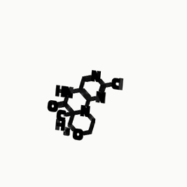 CC12COCCN1c1nc(Cl)ncc1NC2=O